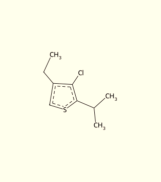 CCc1csc(C(C)C)c1Cl